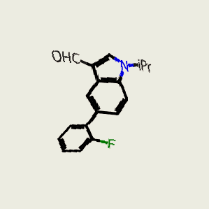 CC(C)n1cc(C=O)c2cc(-c3ccccc3F)ccc21